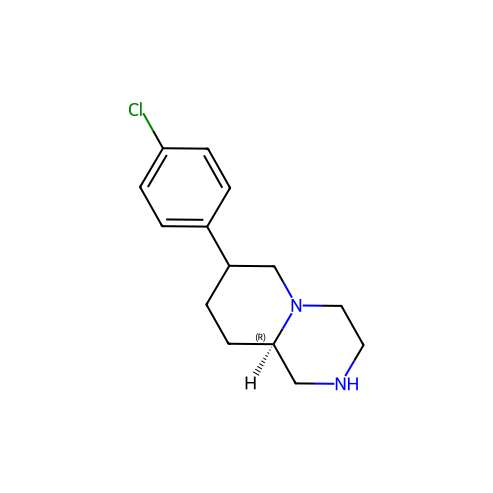 Clc1ccc(C2CC[C@@H]3CNCCN3C2)cc1